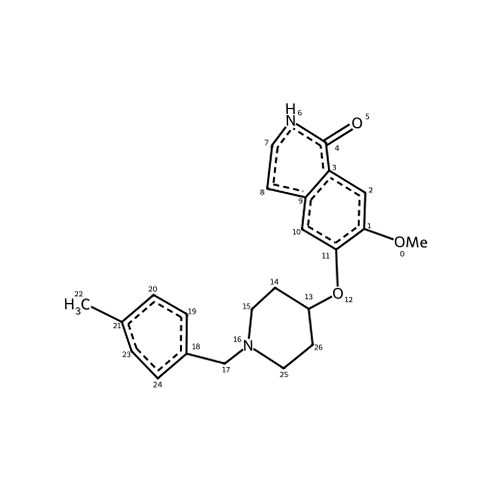 COc1cc2c(=O)[nH]ccc2cc1OC1CCN(Cc2ccc(C)cc2)CC1